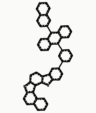 c1cc(-c2ccc3sc4c(ccc5sc6ccc7ccccc7c6c54)c3c2)cc(-c2c3ccccc3c(-c3ccc4ccccc4c3)c3ccccc23)c1